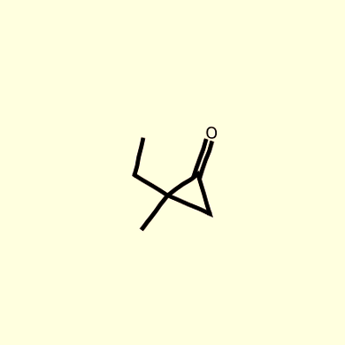 CCC1(C)CC1=O